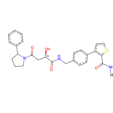 CCCNC(=O)c1sccc1-c1ccc(CNC(=O)[C@H](O)CC(=O)N2CCCC2c2ccccc2)cc1